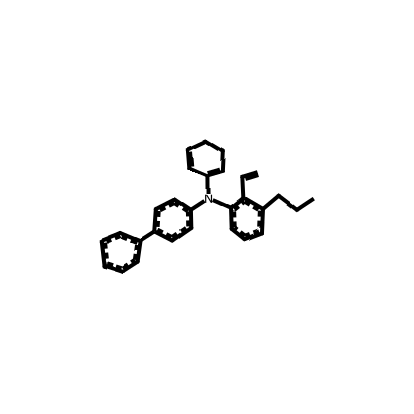 C=Cc1c(CCC)cccc1N(C1=CCCC=C1)c1ccc(-c2ccccc2)cc1